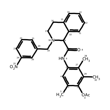 CC(=O)Oc1c(C)cc(NC(=O)C2c3ccccc3CCN2Cc2cccc([N+](=O)[O-])c2)c(C)c1C